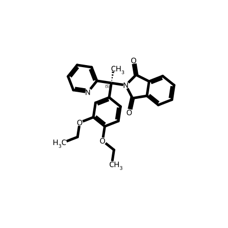 CCOc1ccc([C@@](C)(c2ccccn2)N2C(=O)c3ccccc3C2=O)cc1OCC